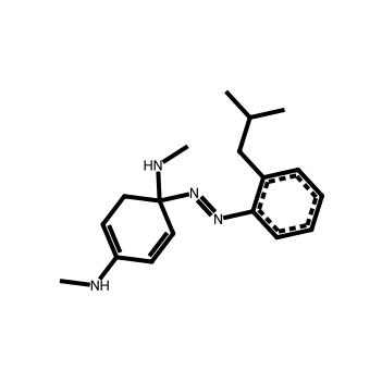 CNC1=CCC(N=Nc2ccccc2CC(C)C)(NC)C=C1